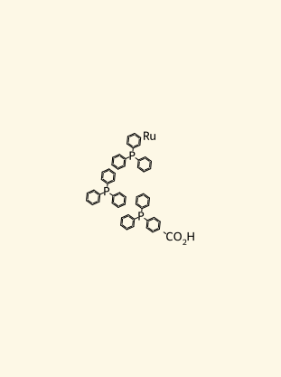 CC(=O)O.[Ru].c1ccc(P(c2ccccc2)c2ccccc2)cc1.c1ccc(P(c2ccccc2)c2ccccc2)cc1.c1ccc(P(c2ccccc2)c2ccccc2)cc1